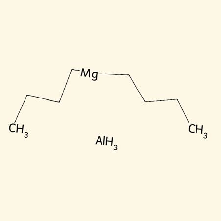 CCC[CH2][Mg][CH2]CCC.[AlH3]